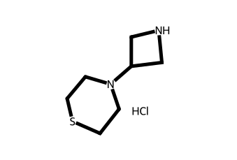 C1CN(C2CNC2)CCS1.Cl